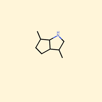 CC1CNC2C(C)CCC12